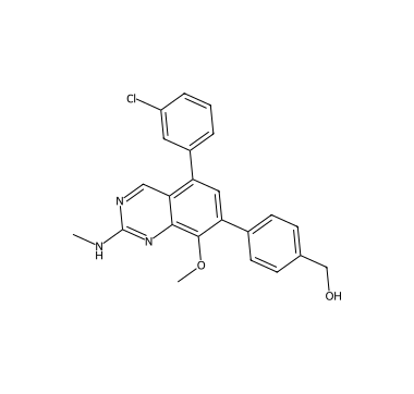 CNc1ncc2c(-c3cccc(Cl)c3)cc(-c3ccc(CO)cc3)c(OC)c2n1